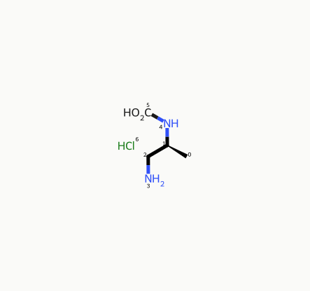 C[C@@H](CN)NC(=O)O.Cl